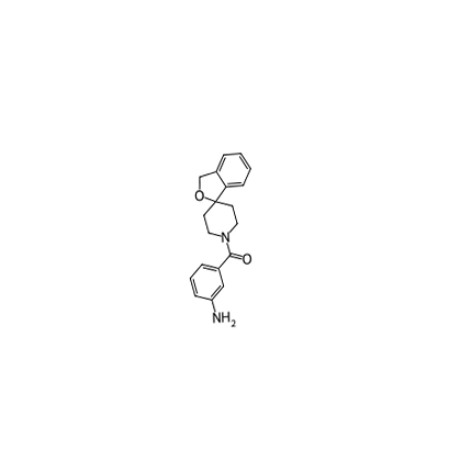 Nc1cccc(C(=O)N2CCC3(CC2)OCc2ccccc23)c1